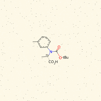 Cc1cccc(N(C(=O)OC(C)(C)C)[C@@H](C)C(=O)O)c1